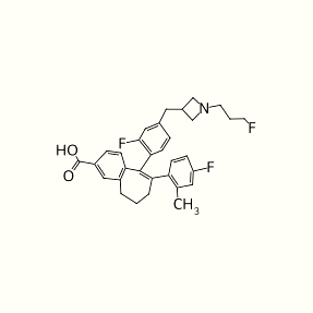 Cc1cc(F)ccc1C1=C(c2ccc(CC3CN(CCCF)C3)cc2F)c2ccc(C(=O)O)cc2CCC1